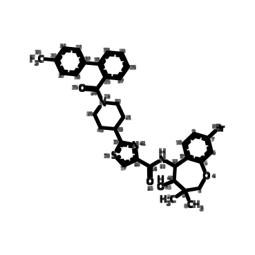 CC1(C)COc2cc(Br)ccc2C(NC(=O)c2csc(C3CCN(C(=O)c4ccccc4-c4ccc(C(F)(F)F)cc4)CC3)n2)C1O